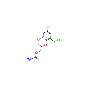 NC(=O)OCC1COc2cc(F)cc(CCl)c2O1